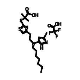 CCCCCCCN(CCc1csc(SC(C)(C)C(=O)O)n1)c1cc(C)n[nH]1.O=C(O)C(F)(F)F